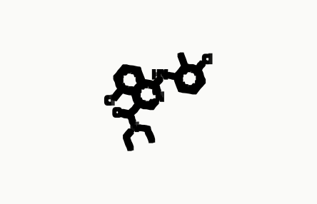 CCN(CC)C(=O)c1cnc(Nc2cccc(Cl)c2C)c2cccc(Cl)c12